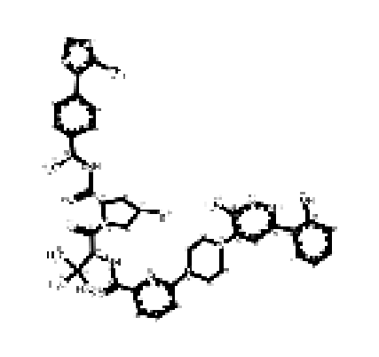 Cc1ncsc1-c1ccc([C@H](C)NC(=O)[C@@H]2C[C@@H](O)CN2C(=O)[C@@H](NC(=O)c2cccc(N3CCN(c4cc(-c5ccccc5O)nnc4N)CC3)n2)C(C)(C)C)cc1